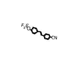 N#Cc1ccc(/C=C/c2ccc(OC(F)(F)F)cc2)cc1